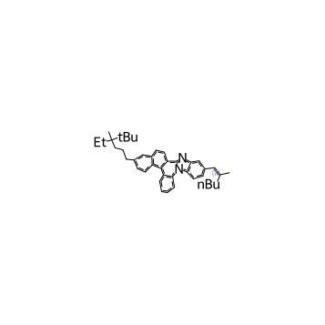 CCCC/C(C)=C\c1ccc2c(c1)nc1c3ccc4cc(CCCC(C)(CC)C(C)(C)C)ccc4c3c3ccccc3n21